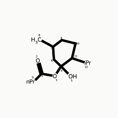 CCCC(=O)OC1(O)CC(C)CCC1C(C)C